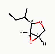 CCC(C)[C@H]1OC[C@@H]2O[C@@H]21